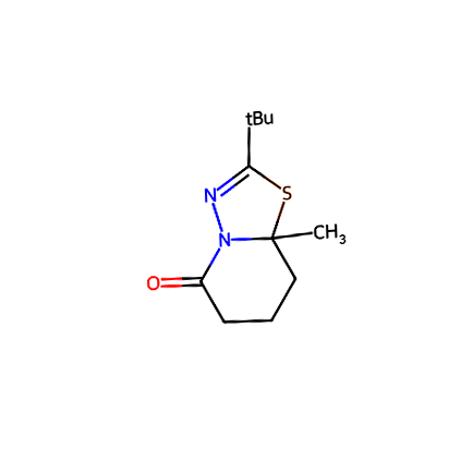 CC(C)(C)C1=NN2C(=O)CCCC2(C)S1